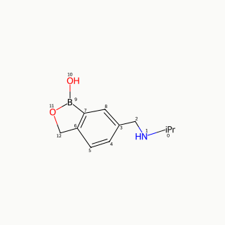 CC(C)NCc1ccc2c(c1)B(O)OC2